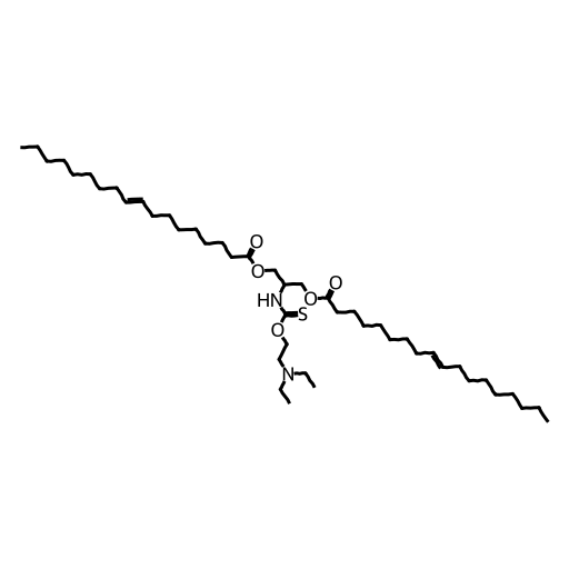 CCCCCCCCC=CCCCCCCCC(=O)OCC(COC(=O)CCCCCCCC=CCCCCCCCC)NC(=S)OCCN(CC)CC